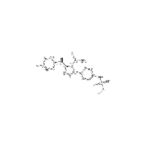 CCS(=O)(=O)Nc1ccc(-c2n[nH]c(Nc3cnc(C)cn3)c2C(N)=O)cc1